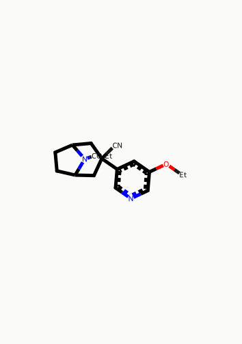 CCOC(=O)N1C2CCC1CC(C#N)(c1cncc(OCC)c1)C2